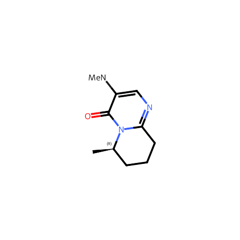 CNc1cnc2n(c1=O)[C@H](C)CCC2